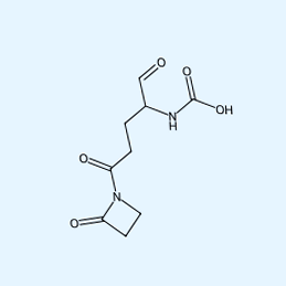 O=CC(CCC(=O)N1CCC1=O)NC(=O)O